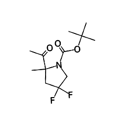 CC(=O)C1(C)CC(F)(F)CN1C(=O)OC(C)(C)C